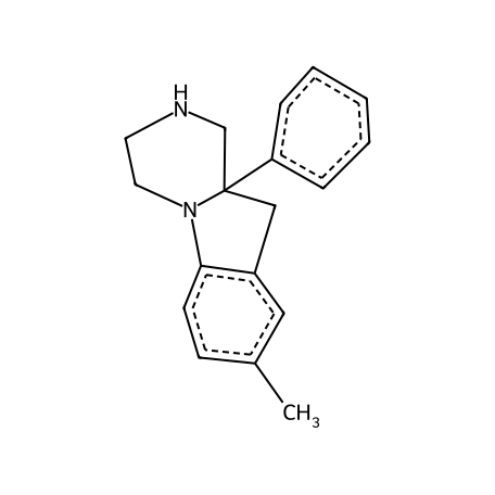 Cc1ccc2c(c1)CC1(c3ccccc3)CNCCN21